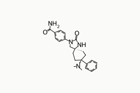 CN(C)[C@]1(c2ccccc2)CC[C@]2(CC1)CN(c1ccc(C(N)=O)cc1)C(=O)N2